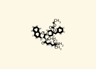 CCOC(=O)OC1(Cc2ccccc2)CCN(C(=O)[C@@H](Cc2ccc3ccccc3c2)N(C)C(=O)/C=C/CC(C)(C)N)CC1